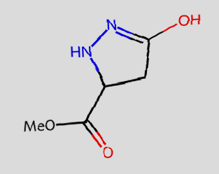 COC(=O)C1CC(O)=NN1